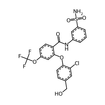 NS(=O)(=O)c1cccc(NC(=O)c2ccc(OC(F)(F)F)cc2Oc2ccc(CO)cc2Cl)c1